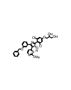 CSc1nccc(-c2c(-c3cccc(OCc4ccccc4)c3)nc(-c3c(Cl)cc(OCC(O)CO)cc3Cl)n2O)n1